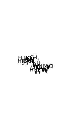 BC(B)(B)OC(C)(C)C(F)CNC(=O)c1cnc(-c2cnn3cc(Cl)cnc23)cc1NC(C)C